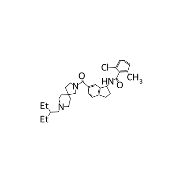 CCC(CC)CN1CCC2(CC1)CCN(C(=O)c1ccc3c(c1)C(NC(=O)c1c(C)cccc1Cl)CC3)C2